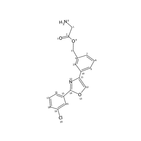 NCC(=O)OCc1cccc(-c2coc(-c3cccc(Cl)c3)n2)c1